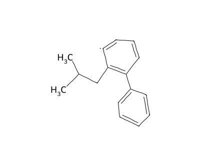 CC(C)Cc1[c]cccc1-c1ccccc1